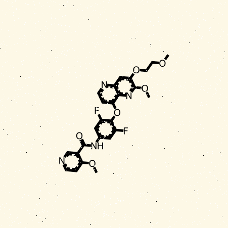 COCCOc1cc2nccc(Oc3c(F)cc(NC(=O)c4cnccc4OC)cc3F)c2nc1OC